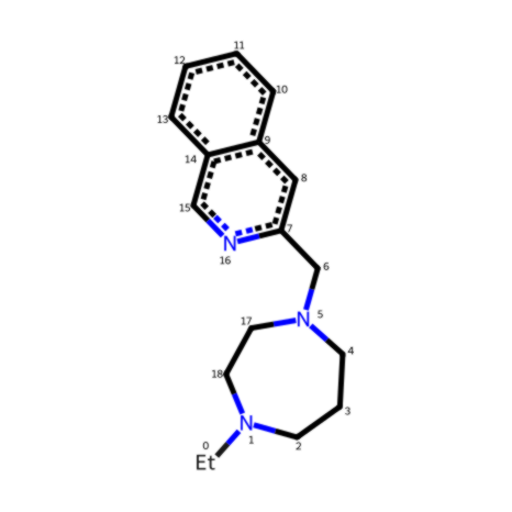 CCN1CCCN(Cc2cc3ccccc3cn2)CC1